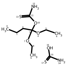 CCCC(OCC)(OCC)OC(N)=S.NC(O)=S